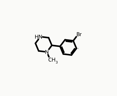 CN1CCNCC1c1cc[c]c(Br)c1